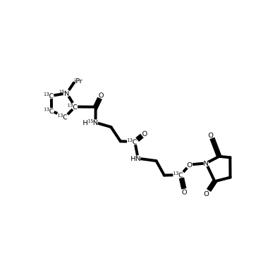 C[13CH](C)[15N]1[13CH2][13CH2][13CH2][13CH]1C(=O)[15NH]CC[13C](=O)NCC[13C](=O)ON1C(=O)CCC1=O